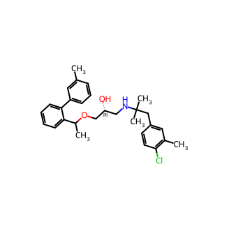 Cc1cccc(-c2ccccc2C(C)OC[C@H](O)CNC(C)(C)Cc2ccc(Cl)c(C)c2)c1